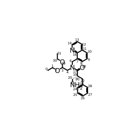 CCOC(CN(Cc1cccc2cccnc12)C(=O)[C@@H](CN)Cc1ccccc1)OCC